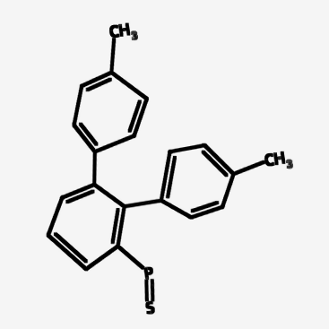 Cc1ccc(-c2cccc(P=S)c2-c2ccc(C)cc2)cc1